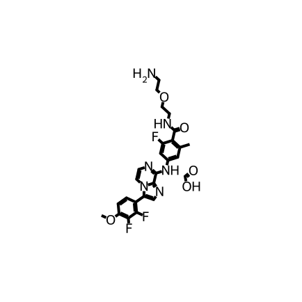 COc1ccc(-c2cnc3c(Nc4cc(C)c(C(=O)NCCOCCN)c(F)c4)nccn23)c(F)c1F.O=CO